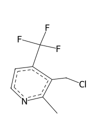 Cc1nccc(C(F)(F)F)c1CCl